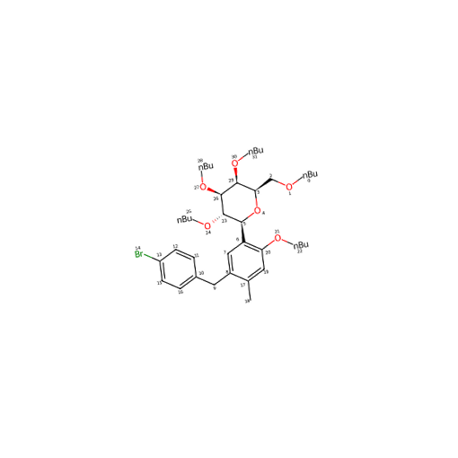 CCCCOC[C@H]1O[C@@H](c2cc(Cc3ccc(Br)cc3)c(C)cc2OCCCC)[C@H](OCCCC)[C@@H](OCCCC)[C@H]1OCCCC